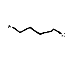 [Na][CH2]CCCBr